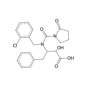 O=C(O)C(O)C(Cc1ccccc1)N(Cc1ccccc1Cl)C(=O)N1CCCC1=O